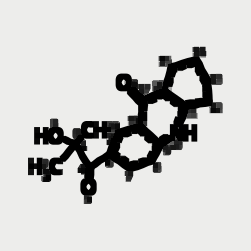 CC(C)(O)C(=O)c1ccc2[nH]c3ccccc3c(=O)c2c1